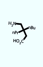 CCCCC(CN)(CCC)CC(=O)O